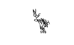 CCNCc1cncc(-c2cnc3[nH]nc(-c4cc5c(-c6cc(F)cc(OCCN(C)C)c6)cccc5[nH]4)c3c2)c1